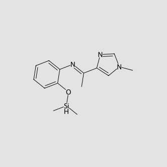 CC(=Nc1ccccc1O[SiH](C)C)c1cn(C)cn1